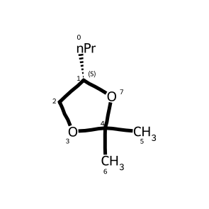 CCC[C@H]1COC(C)(C)O1